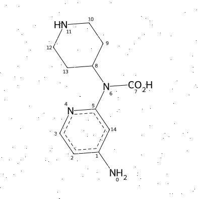 Nc1ccnc(N(C(=O)O)C2CCNCC2)c1